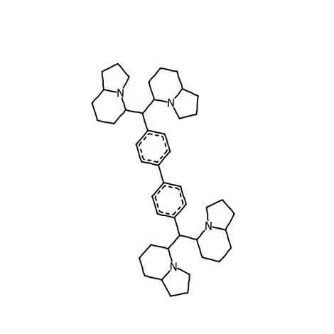 c1cc(C(C2CCCC3CCCN32)C2CCCC3CCCN32)ccc1-c1ccc(C(C2CCCC3CCCN32)C2CCCC3CCCN32)cc1